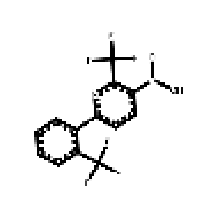 OB(O)c1ccc(-c2ccccc2C(F)(F)F)nc1C(F)(F)F